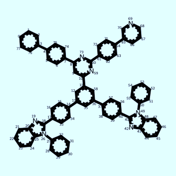 c1ccc(-c2ccc(-c3cc(-c4cc(-c5ccc(-c6nc7ccccc7n6-c6ccccc6)cc5)cc(-c5ccc(-c6nc7ccccc7n6-c6ccccc6)cc5)c4)nc(-c4ccc(-c5cccnc5)cc4)n3)cc2)cc1